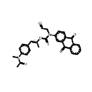 CC(=O)N(C)c1ccc(/C=C(\C)OC(=S)N(CC=O)c2ccc3c(c2)C(=O)c2ccccc2C3=O)cc1